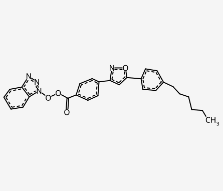 CCCCCCc1ccc(-c2cc(-c3ccc(C(=O)OOn4nnc5ccccc54)cc3)no2)cc1